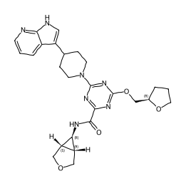 O=C(N[C@H]1[C@@H]2COC[C@@H]21)c1nc(OC[C@H]2CCCO2)nc(N2CCC(c3c[nH]c4ncccc34)CC2)n1